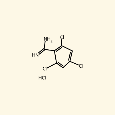 Cl.N=C(N)c1c(Cl)cc(Cl)cc1Cl